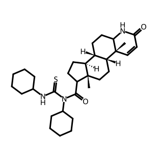 C[C@]12C=CC(=O)NC1CC[C@@H]1[C@H]2CC[C@]2(C)C(C(=O)N(C(=S)NC3CCCCC3)C3CCCCC3)CC[C@@H]12